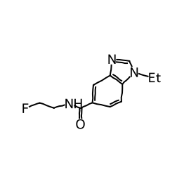 CCn1cnc2cc(C(=O)NCCF)ccc21